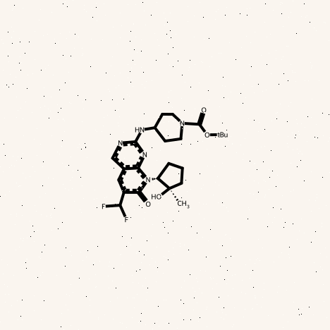 CC(C)(C)OC(=O)N1CCC(Nc2ncc3cc(C(F)F)c(=O)n([C@@H]4CCC[C@@]4(C)O)c3n2)CC1